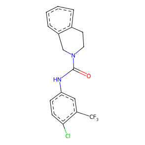 O=C(Nc1ccc(Cl)c(C(F)(F)F)c1)N1CCc2ccccc2C1